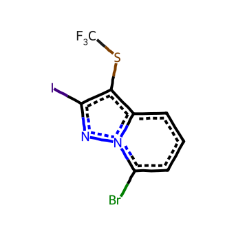 FC(F)(F)Sc1c(I)nn2c(Br)cccc12